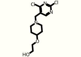 OCCOC1CCN(Cc2cnc(Cl)nc2Cl)CC1